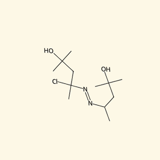 CC(CC(C)(C)O)N=NC(C)(Cl)CC(C)(C)O